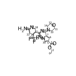 CCOC(=O)c1cc2c(N3CCOCC3)nc(-c3cnc(N)cc3C(F)(F)F)nn2c1